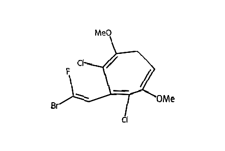 COC1=CCC(OC)=C(Cl)C(/C=C(\F)Br)=C1Cl